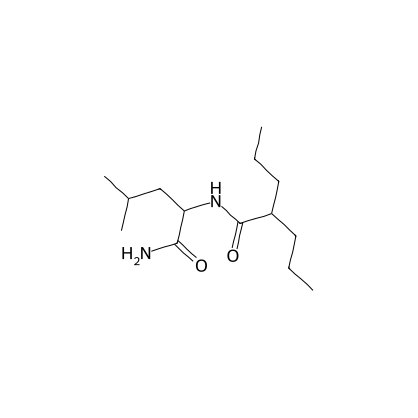 CCCC(CCC)C(=O)NC(CC(C)C)C(N)=O